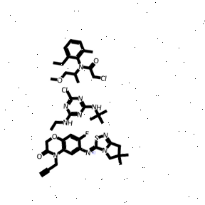 C#CCN1C(=O)COc2cc(F)c(/N=c3\snc4n3CC(C)(C)C4)cc21.CCNc1nc(Cl)nc(NC(C)(C)C)n1.CCc1cccc(C)c1N(C(=O)CCl)C(C)COC